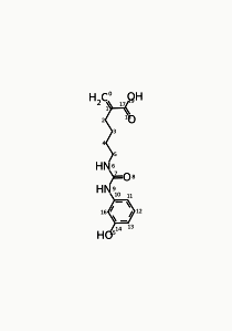 C=C(CCCCNC(=O)Nc1cccc(O)c1)C(=O)O